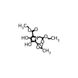 CCOC(=O)Cn1c(C(=O)OCC)c(O)c(O)c1C1OC(C)O1